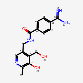 Cc1ncc(CNC(=O)c2ccc(C(=N)N)cc2)c(CO)c1O